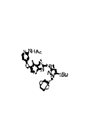 CC(=O)Nc1cc(Oc2cnc3nc(Nc4cc(C(C)(C)C)n(C[C@H]5COCCO5)n4)n(C)c3c2C)ccn1